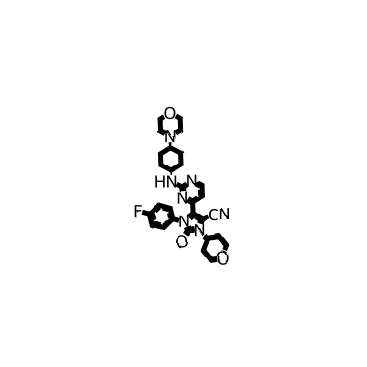 N#Cc1c(-c2ccnc(N[C@H]3CC[C@H](N4CCOCC4)CC3)n2)n(-c2ccc(F)cc2)c(=O)n1C1CCOCC1